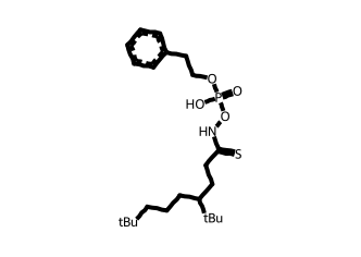 CC(C)(C)CCCC(CCC(=S)NOP(=O)(O)OCCc1ccccc1)C(C)(C)C